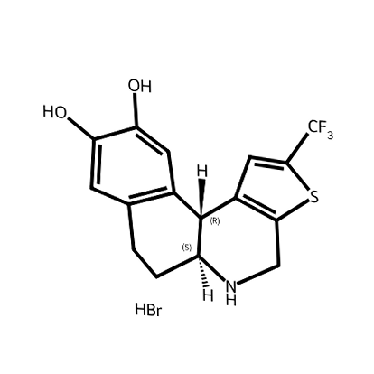 Br.Oc1cc2c(cc1O)[C@@H]1c3cc(C(F)(F)F)sc3CN[C@H]1CC2